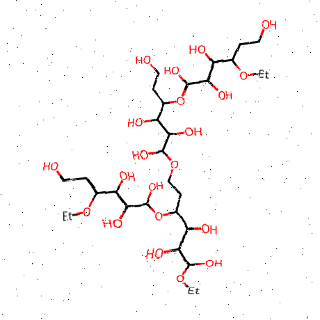 CCOC(O)C(O)C(O)C(CCOC(O)C(O)C(O)C(CCO)OC(O)C(O)C(O)C(CCO)OCC)OC(O)C(O)C(O)C(CCO)OCC